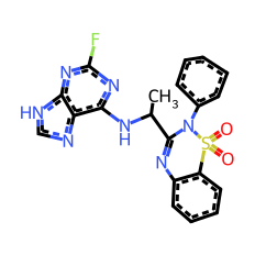 CC(Nc1nc(F)nc2[nH]cnc12)C1=Nc2ccccc2S(=O)(=O)N1c1ccccc1